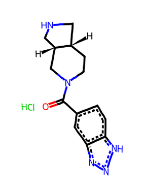 Cl.O=C(c1ccc2[nH]nnc2c1)N1CC[C@H]2CNC[C@H]2C1